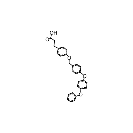 O=C(O)CCc1ccc(OCc2ccc(Oc3ccc(Oc4ccccc4)cc3)cc2)cc1